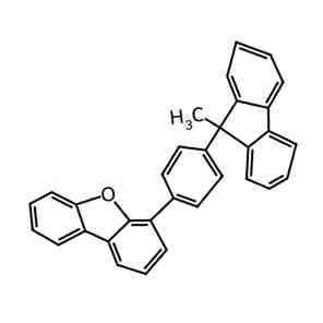 CC1(c2ccc(-c3cccc4c3oc3ccccc34)cc2)c2ccccc2-c2ccccc21